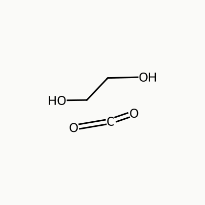 O=C=O.OCCO